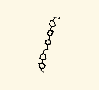 CCCCCC1CCC(c2ccc(-c3ccc(CCC4CCC(c5ccc(C#N)cc5)CC4)cc3)cc2)CC1